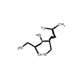 CC(N)/C=C(/CO)[C@H](O)C(O)CO